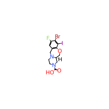 O=C(O)N1CCN2Cc3cc(F)c(Br)c(I)c3OC[C@H]2C1